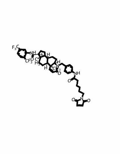 C[C@]12C=CC(=O)N(Cc3ccc(NC(=O)CCCCCN4C(=O)C=CC4=O)cc3)[C@@H]1CC[C@@H]1[C@@H]2CC[C@]2(C)[C@@H](C(=O)Nc3cc(C(F)(F)F)ccc3C(F)(F)F)CC[C@@H]12